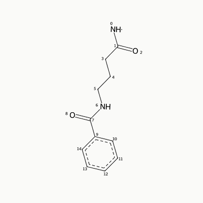 [NH]C(=O)CCCNC(=O)c1ccccc1